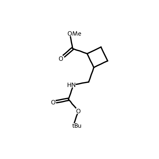 COC(=O)C1CCC1CNC(=O)OC(C)(C)C